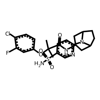 CC(C)(Oc1ccc(Cl)c(F)c1)C(=O)NC1CC2CCC(C1)N2c1ccc(S(N)(=O)=O)cn1